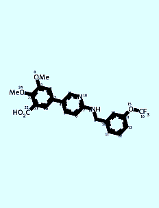 COc1cc(-c2ccc(NCc3cccc(OC(F)(F)F)c3)nc2)cc(C(=O)O)c1OC